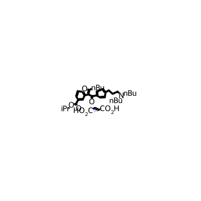 CCCCc1oc2ccc(C(=O)OC(C)C)cc2c1C(=O)c1ccc(CCCN(CCCC)CCCC)cc1.O=C(O)/C=C/C(=O)O